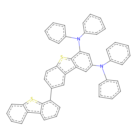 c1ccc(N(c2ccccc2)c2cc(N(c3ccccc3)c3ccccc3)c3sc4ccc(-c5cccc6c5sc5ccccc56)cc4c3c2)cc1